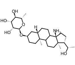 C[C@H](O)[C@H]1CC[C@@]2(N)C3CC[C@H]4C[C@H](O[C@@H]5O[C@@H](C)[C@H](O)[C@@H](O)[C@H]5O)CC[C@]4(C)C3CC[C@]12C